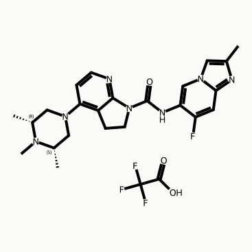 Cc1cn2cc(NC(=O)N3CCc4c(N5C[C@@H](C)N(C)[C@@H](C)C5)ccnc43)c(F)cc2n1.O=C(O)C(F)(F)F